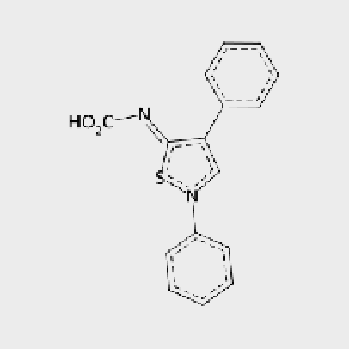 O=C(O)/N=c1\sn(-c2ccccc2)cc1-c1ccccc1